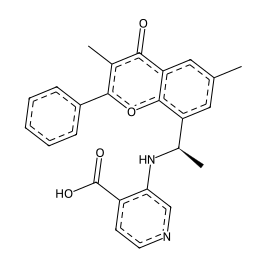 Cc1cc([C@@H](C)Nc2cnccc2C(=O)O)c2oc(-c3ccccc3)c(C)c(=O)c2c1